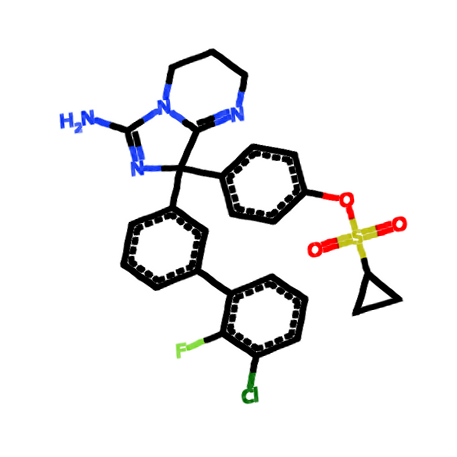 NC1=NC(c2ccc(OS(=O)(=O)C3CC3)cc2)(c2cccc(-c3cccc(Cl)c3F)c2)C2=NCCCN12